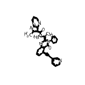 Cc1nn2cccnc2c1C(=O)N[C@@H](C)c1nc2cccc(C#Cc3cccnc3)c2c(=O)n1-c1ccccc1